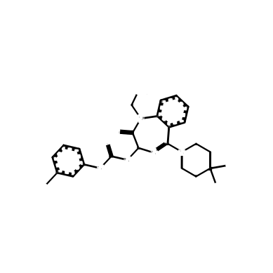 Cc1cccc(NC(=O)NC2N=C(N3CCC(C)(C)CC3)c3ccccc3N(CC(F)(F)F)C2=O)c1